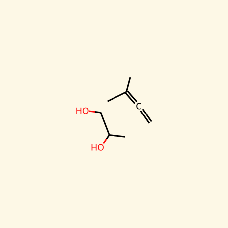 C=C=C(C)C.CC(O)CO